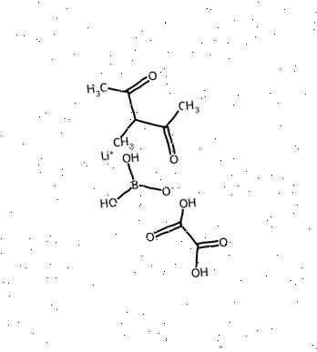 CC(=O)C(C)C(C)=O.O=C(O)C(=O)O.[Li+].[O-]B(O)O